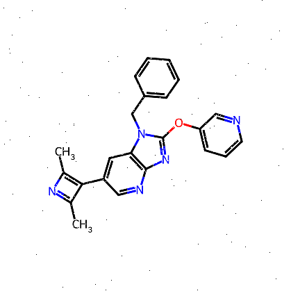 CC1=NC(C)=C1c1cnc2nc(Oc3cccnc3)n(Cc3ccccc3)c2c1